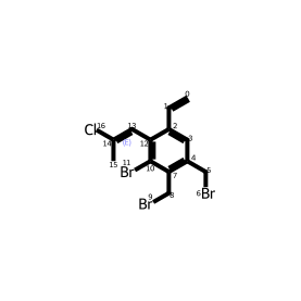 C=Cc1cc(CBr)c(CBr)c(Br)c1/C=C(\C)Cl